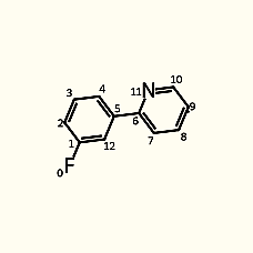 Fc1cccc(-c2cc[c]cn2)c1